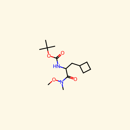 CON(C)C(=O)C(CC1CCC1)NC(=O)OC(C)(C)C